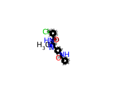 Cn1nc(-c2ccc(NC(=O)c3ccccc3)cc2)cc1NC(=O)c1cccc(Cl)c1